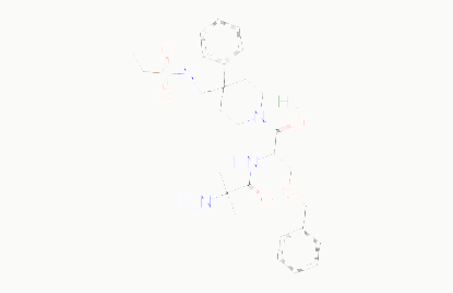 CCS(=O)(=O)N1CC2(CCN(C(=O)C(COCc3ccccc3)NC(=O)C(C)(C)N)CC2)c2ccccc21.Cl